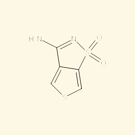 NC1=NS(=O)(=O)c2cscc21